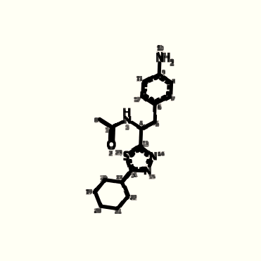 CC(=O)NC(Cc1ccc(N)cc1)c1nnc(C2CCCCC2)s1